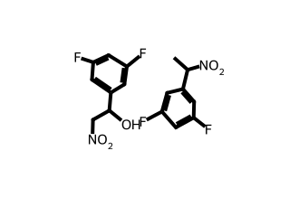 CC(c1cc(F)cc(F)c1)[N+](=O)[O-].O=[N+]([O-])CC(O)c1cc(F)cc(F)c1